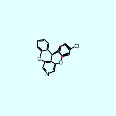 Clc1ccc(C23c4ccccc4Oc4cncc(c42)Oc2ccccc23)cc1